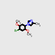 COc1cc(-n2cnc(C)c2)c(OC)cc1Br